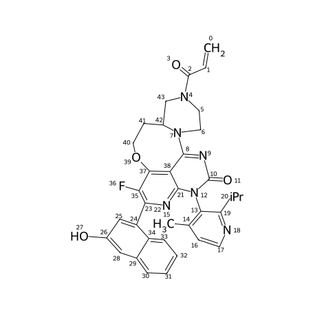 C=CC(=O)N1CCN2c3nc(=O)n(-c4c(C)ccnc4C(C)C)c4nc(-c5cc(O)cc6ccccc56)c(F)c(c34)OCCC2C1